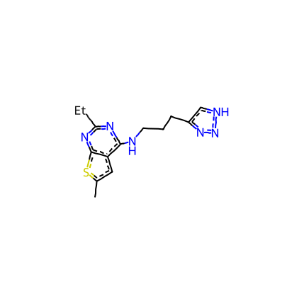 CCc1nc(NCCCc2c[nH]nn2)c2cc(C)sc2n1